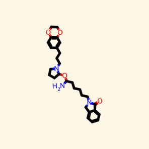 NC(CCCCCN1Cc2ccccc2C1=O)OC1CCCN1CCCc1ccc2c(c1)OCCO2